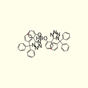 B(Oc1ccccc1-c1nnnn1C(c1ccccc1)(c1ccccc1)c1ccccc1)Oc1ccccc1-c1nnnn1C(c1ccccc1)(c1ccccc1)c1ccccc1